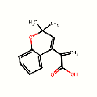 C=C(C(=O)O)C1=CC(C)(C)Oc2ccccc21